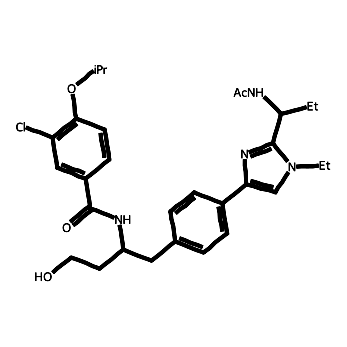 CCC(NC(C)=O)c1nc(-c2ccc(CC(CCO)NC(=O)c3ccc(OC(C)C)c(Cl)c3)cc2)cn1CC